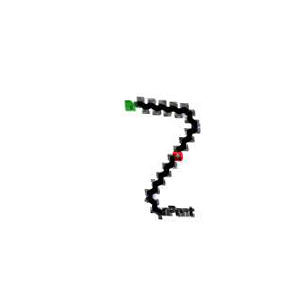 CCCCC/C=C\C/C=C\CCCCCCCCOCCCCC/C=C\C/C=C\CCCCCCCCBr